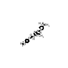 Cc1nc(N2CCC(N(C)C)CC2)nc2ncc(NC(=O)COc3ccc(OC(F)(F)F)cc3)nc12